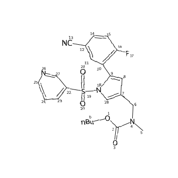 CCCCOC(=O)N(C)Cc1cc(-c2cc(C#N)ccc2F)n(S(=O)(=O)c2cccnc2)c1